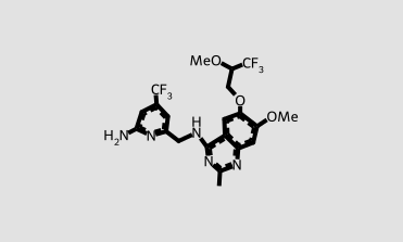 COc1cc2nc(C)nc(NCc3cc(C(F)(F)F)cc(N)n3)c2cc1OCC(OC)C(F)(F)F